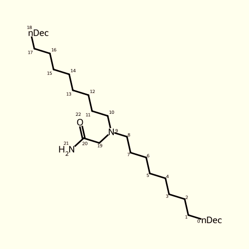 CCCCCCCCCCCCCCCCCCN(CCCCCCCCCCCCCCCCCC)CC(N)=O